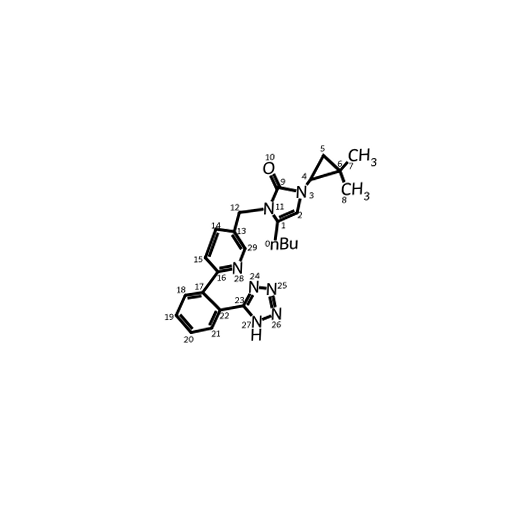 CCCCc1cn(C2CC2(C)C)c(=O)n1Cc1ccc(-c2ccccc2-c2nnn[nH]2)nc1